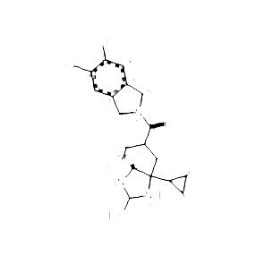 O=C(C(CO)CC1(C2CC2)NC(O)NC1=O)N1Cc2cc(Cl)c(Cl)cc2C1